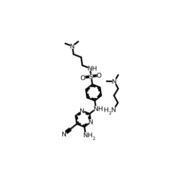 CN(C)CCCN.CN(C)CCCNS(=O)(=O)c1ccc(Nc2ncc(C#N)c(N)n2)cc1